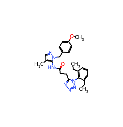 CCc1cccc(CC)c1-n1nnnc1CCC(=O)Nc1c(C)cnn1Cc1ccc(OC)cc1